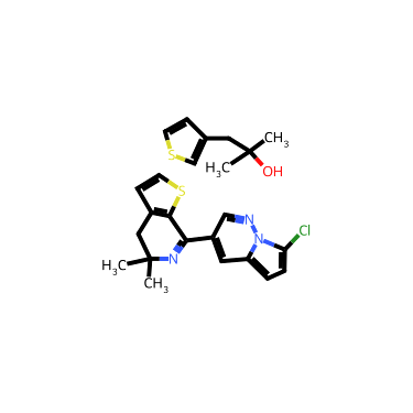 CC(C)(O)Cc1ccsc1.CC1(C)Cc2ccsc2C(c2cnn3c(Cl)ccc3c2)=N1